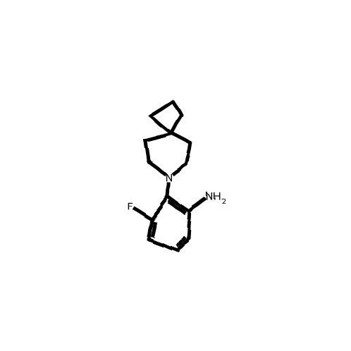 Nc1cccc(F)c1N1CCC2(CCC2)CC1